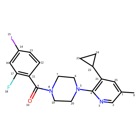 Cc1cnc(N2CCN(C(=O)c3ccc(I)cc3F)CC2)c(C2CC2)c1